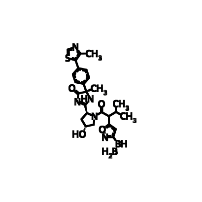 BBc1cc(C(C(=O)N2C[C@H](O)C[C@H]2C2=NC(=O)[C@](C)(c3ccc(-c4scnc4C)cc3)N2)C(C)C)on1